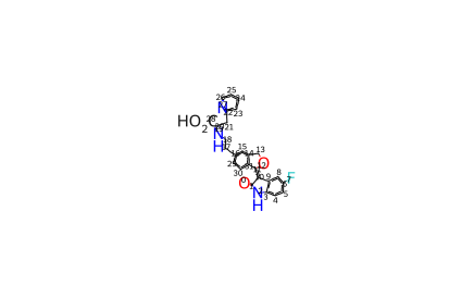 O=C1Nc2ccc(F)cc2C1=C1OCc2cc(CCNC(Cc3ccccn3)C(=O)O)ccc21